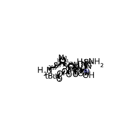 CC(C)(C)C(=O)OCOC(=O)C1=C(Sc2ccncc2CSCCN)CC[C@@H]2[C@H](NC(=O)/C(=N\O)c3nsc(N)n3)C(=O)N12